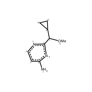 COC(c1nccc(N)n1)C1CC1